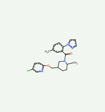 Cc1ccc(-n2cccn2)c(C(=O)N2CC(COc3ccc(F)cn3)CCC2C)c1